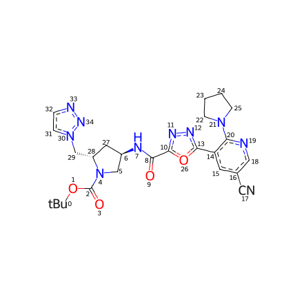 CC(C)(C)OC(=O)N1C[C@H](NC(=O)c2nnc(-c3cc(C#N)cnc3N3CCCC3)o2)C[C@H]1Cn1ccnn1